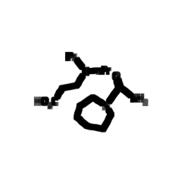 CCCN(CCC(=O)O)C(C)C.NC(=O)N1CCCCCC1